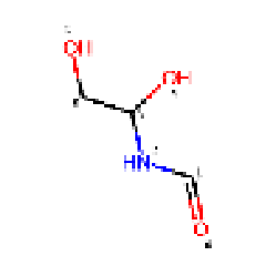 O=[C]NC(O)CO